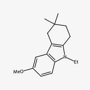 CCn1c2c(c3cc(OC)ccc31)CC(C)(C)CC2